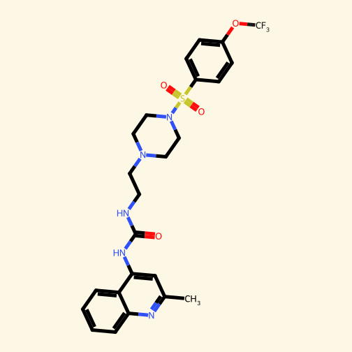 Cc1cc(NC(=O)NCCN2CCN(S(=O)(=O)c3ccc(OC(F)(F)F)cc3)CC2)c2ccccc2n1